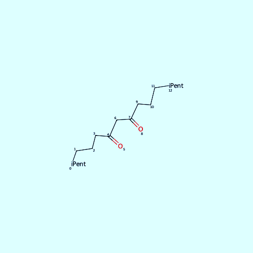 CCCC(C)CCCC(=O)CC(=O)CCCC(C)CCC